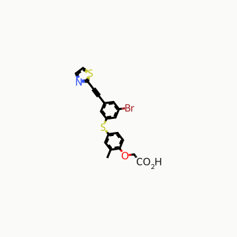 Cc1cc(Sc2cc(Br)cc(C#Cc3nccs3)c2)ccc1OCC(=O)O